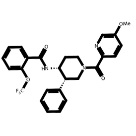 COc1ccc(C(=O)N2CC[C@@H](NC(=O)c3ccccc3OC(F)(F)F)[C@@H](c3ccccc3)C2)nc1